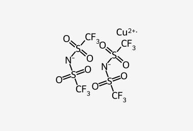 O=S(=O)([N-]S(=O)(=O)C(F)(F)F)C(F)(F)F.O=S(=O)([N-]S(=O)(=O)C(F)(F)F)C(F)(F)F.[Cu+2]